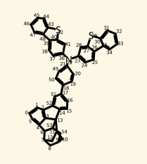 c1cc2c3c(c1)C1C4CC5CC(C4)C3(c3ccc(-c4ccc(N(c6ccc7c(c6)sc6ccccc67)c6ccc7c(c6)sc6ccccc67)cc4)cc3-2)C1C5